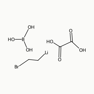 O=C(O)C(=O)O.OB(O)O.[Li][CH2]CBr